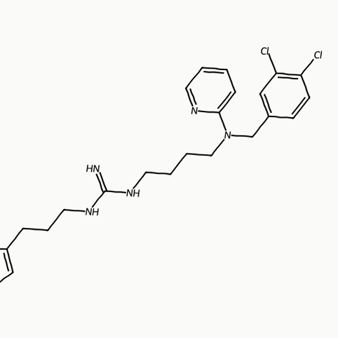 N=C(NCCCCN(Cc1ccc(Cl)c(Cl)c1)c1ccccn1)NCCCc1c[nH]cn1